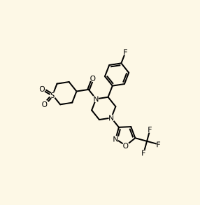 O=C(C1CCS(=O)(=O)CC1)N1CCN(c2cc(C(F)(F)F)on2)CC1c1ccc(F)cc1